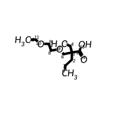 CCCC(CC)(COCCOCC)C(=O)O